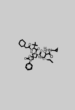 CCC[C@H](NC(=O)[C@@H]1C[C@]2(CN(c3ccccc3)C(=O)O2)CN1C(=O)C(NC(=O)CC1CCCCC1)C(C)(C)C)C(O)C(=O)NC1CC1